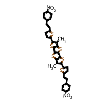 Cc1c(-c2ccc(/C=C/c3ccc([N+](=O)[O-])cc3)s2)sc2c1sc1c3sc(-c4ccc(/C=C/c5ccc([N+](=O)[O-])cc5)s4)c(C)c3sc21